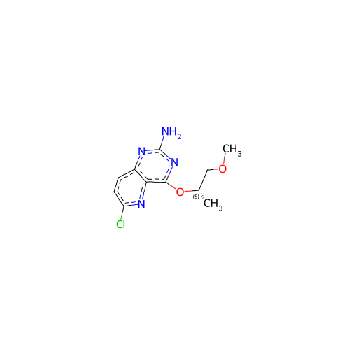 COC[C@H](C)Oc1nc(N)nc2ccc(Cl)nc12